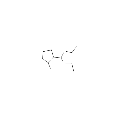 CCOC(OCC)C1CCCC1C